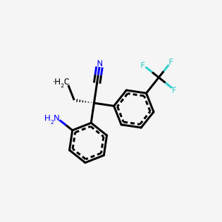 [CH2]C[C@](C#N)(c1cccc(C(F)(F)F)c1)c1ccccc1N